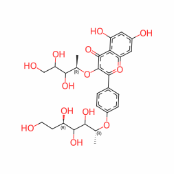 C[C@@H](Oc1c(-c2ccc(O[C@H](C)C(O)C(O)[C@H](O)CCO)cc2)oc2cc(O)cc(O)c2c1=O)C(O)C(O)CO